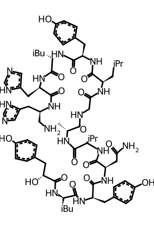 CC[C@H](C)[C@@H](NC(=O)[C@H](O)Cc1ccc(O)cc1)C(=O)N[C@H](Cc1ccc(O)cc1)C(=O)N[C@H](CC(N)=O)C(=O)N[C@@H](C(=O)N[C@H](C)C(=O)NCC(=O)N[C@H](CC(C)C)C(=O)N[C@H](Cc1ccc(O)cc1)C(=O)N[C@@H](C(=O)N[C@H](Cc1cnc[nH]1)C(=O)N[C@@H](CN)Cc1cnc[nH]1)[C@@H](C)CC)C(C)C